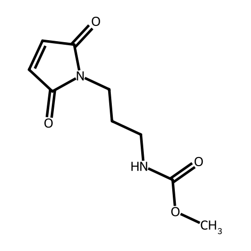 COC(=O)NCCCN1C(=O)C=CC1=O